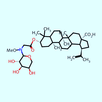 C=C(C)[C@@H]1CC[C@]2(C(=O)O)CC[C@]3(C)C(CCC4[C@@]5(C)CC[C@H](OC(=O)CN(OC)C6OC[C@@H](O)[C@@H](O)[C@@H]6O)C(C)(C)C5CC[C@]43C)C12